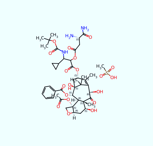 CC(=O)O[C@@]12CO[C@@H]1C[C@H](O)[C@@]1(C)C(=O)[C@H](O)C3=C(C)[C@@H](OC(=O)C(OC(=O)C[C@H](N)C(N)=O)C(NC(=O)OC(C)(C)C)C4CC4)C[C@@](O)([C@@H](OC(=O)c4ccccc4)[C@H]21)C3(C)C.CS(=O)(=O)O